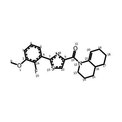 COc1cccc(-c2nc(C(=O)N3CCCC4CCCC=C43)cs2)c1F